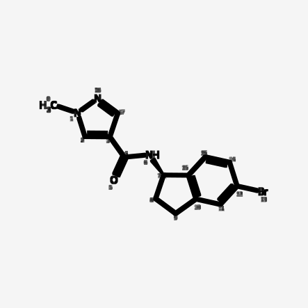 Cn1cc(C(=O)N[C@@H]2CCc3cc(Br)ccc32)cn1